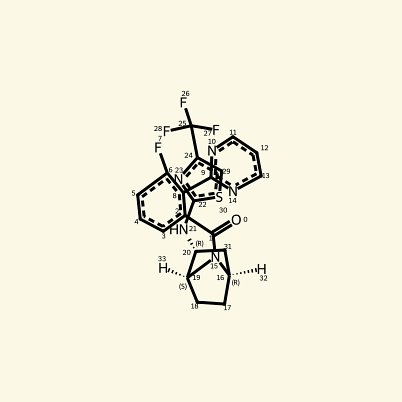 O=C(c1cccc(F)c1-c1ncccn1)N1[C@@H]2CC[C@H]1[C@H](Nc1nc(C(F)(F)F)cs1)C2